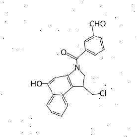 O=Cc1cccc(C(=O)N2CC(CCl)c3c2cc(O)c2ccccc32)c1